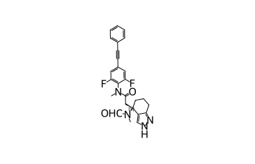 CN(C(=O)C[C@@]1(N(C)C=O)CCCc2n[nH]cc21)c1c(F)cc(C#Cc2ccccc2)cc1F